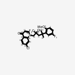 COc1ccc(F)cc1C(C)(C)CC(O)(Cn1ccc(=O)c2ccc(Cl)cc21)C(F)(F)F